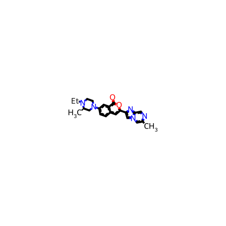 CCN1CCN(c2ccc3cc(-c4cn5cc(C)ncc5n4)oc(=O)c3c2)C[C@H]1C